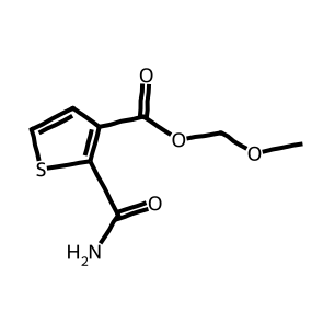 COCOC(=O)c1ccsc1C(N)=O